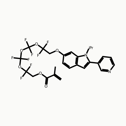 C=C(C)C(=O)OCC(F)(F)OC(F)(F)OC(F)(F)OC(F)(F)COc1ccc2cc(-c3cccnc3)n(C(C)C)c2c1